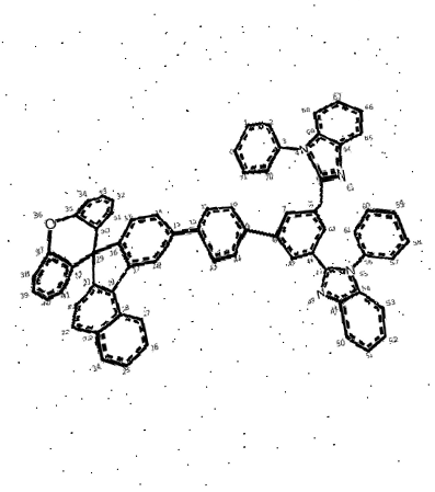 c1ccc(-n2c(-c3cc(-c4ccc(-c5ccc6c(c5)-c5c(ccc7ccccc57)C65c6ccccc6Oc6ccccc65)cc4)cc(-c4nc5ccccc5n4-c4ccccc4)c3)nc3ccccc32)cc1